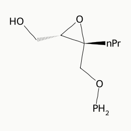 CCC[C@]1(COP)O[C@H]1CO